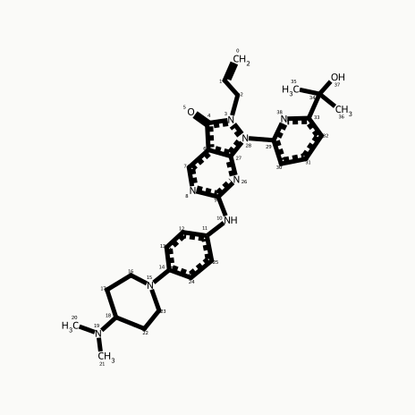 C=CCn1c(=O)c2cnc(Nc3ccc(N4CCC(N(C)C)CC4)cc3)nc2n1-c1cccc(C(C)(C)O)n1